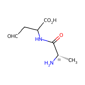 C[C@H](N)C(=O)NC(CC=O)C(=O)O